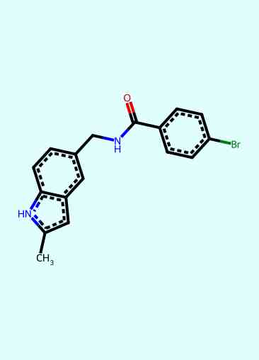 Cc1cc2cc(CNC(=O)c3ccc(Br)cc3)ccc2[nH]1